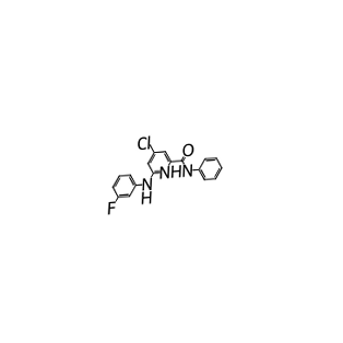 O=C(Nc1ccccc1)c1cc(Cl)cc(Nc2cccc(F)c2)n1